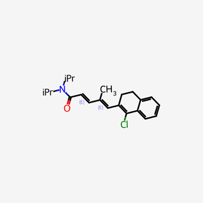 CC(/C=C/C(=O)N(C(C)C)C(C)C)=C\C1=C(Cl)c2ccccc2CC1